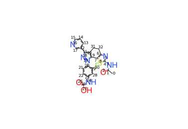 CC(=O)Nc1nc2c(s1)-c1c(c(-c3cccnc3)nn1-c1ccc(NC(=O)O)cc1F)CC2